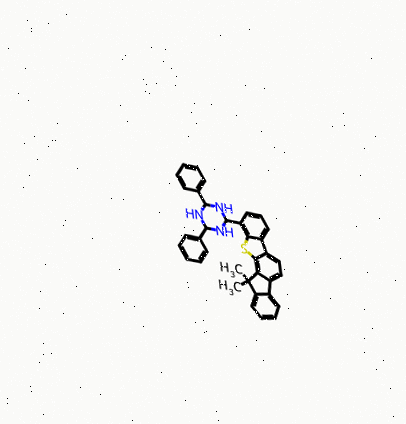 CC1(C)c2ccccc2-c2ccc3c(sc4c(C5NC(c6ccccc6)NC(c6ccccc6)N5)cccc43)c21